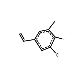 C=Cc1cc(C)c(F)c(Cl)c1